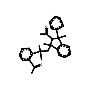 CC(=O)c1ccccc1C(C)(C)CC1(C)c2ccccc2C(C)(c2ccccc2)C1C(C)=O